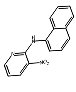 O=[N+]([O-])c1cccnc1Nc1cccc2ccccc12